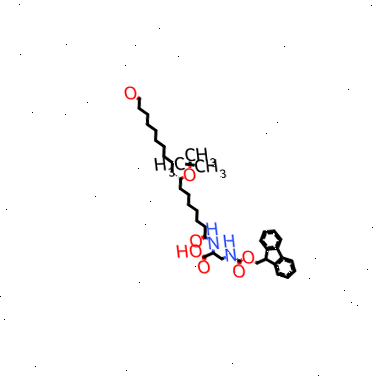 CC(C)(C)O[C@@H](CCCCCCCCCC=O)CCCCCCC(=O)NC(CNC(=O)OCC1c2ccccc2-c2ccccc21)C(=O)O